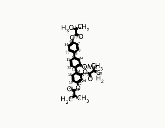 C=C(C)C(=O)Oc1ccc(-c2ccc(-c3ccc(OC(=O)C(=C)C)cc3OC(=O)C(=C)C)c(OC)c2)cc1